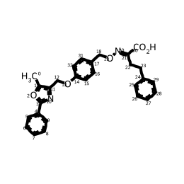 Cc1oc(-c2ccccc2)nc1COc1ccc(CO/N=C(\CCc2ccccc2)C(=O)O)cc1